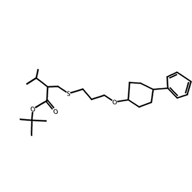 CC(C)C(CSCCCOC1CCC(c2ccccc2)CC1)C(=O)OC(C)(C)C